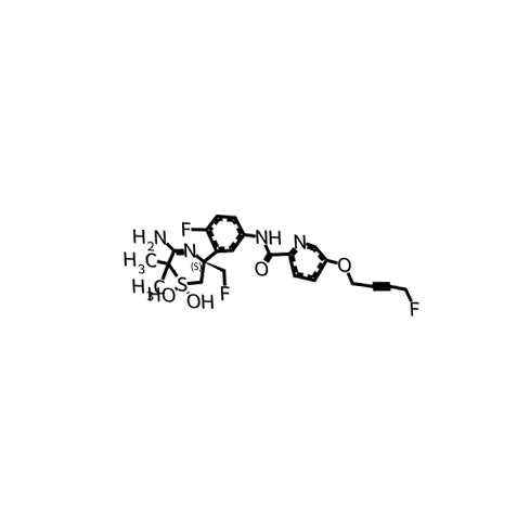 CC1(C)C(N)=N[C@](CF)(c2cc(NC(=O)c3ccc(OCC#CCF)cn3)ccc2F)CS1(O)O